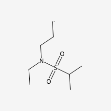 [CH2]CCN(CC)S(=O)(=O)C(C)C